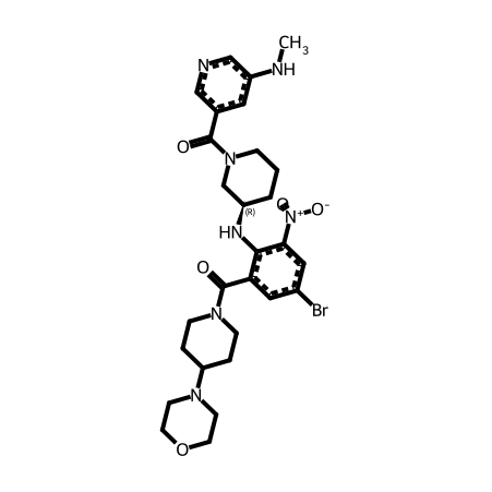 CNc1cncc(C(=O)N2CCC[C@@H](Nc3c(C(=O)N4CCC(N5CCOCC5)CC4)cc(Br)cc3[N+](=O)[O-])C2)c1